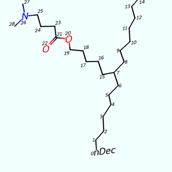 CCCCCCCCCCCCCCCCC(CCCCCCCCCCCCCCCC)CCCCCOC(=O)CCCN(C)C